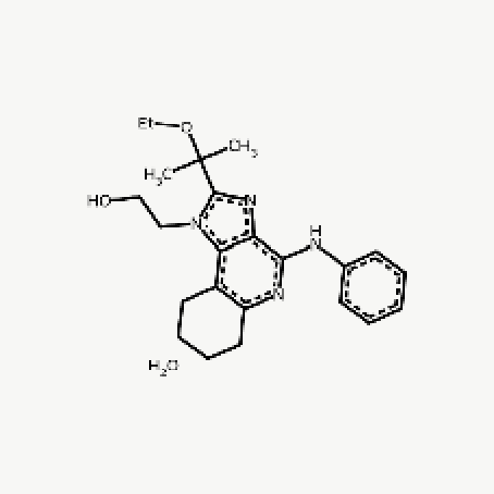 CCOC(C)(C)c1nc2c(Nc3ccccc3)nc3c(c2n1CCO)CCCC3.O